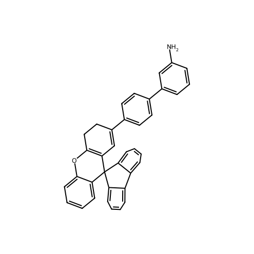 Nc1cccc(-c2ccc(C3=CC4=C(CC3)Oc3ccccc3C43c4ccccc4-c4ccccc43)cc2)c1